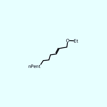 CCCCCCCCC=CCOCC